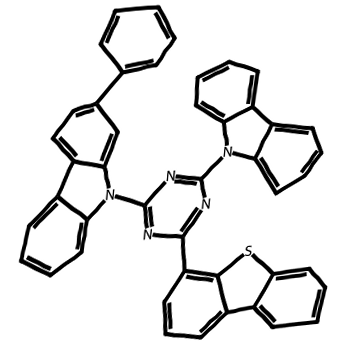 c1ccc(-c2ccc3c4ccccc4n(-c4nc(-c5cccc6c5sc5ccccc56)nc(-n5c6ccccc6c6ccccc65)n4)c3c2)cc1